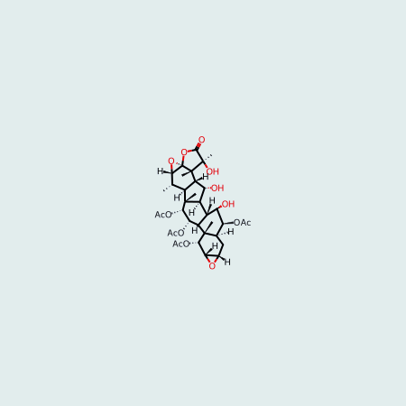 CC(=O)O[C@@H]1[C@H](O)[C@H]2[C@@H]3[C@@H](O)[C@@H]4[C@H]([C@H](C)[C@@H]5O[C@@]56OC(=O)[C@@](C)(O)[C@]46C)[C@@]3(C)[C@@H](OC(C)=O)[C@@H](OC(C)=O)[C@@H]2[C@]2(C)[C@@H]1C[C@@H]1O[C@@H]1[C@@H]2OC(C)=O